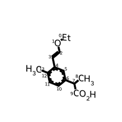 CCO/C=C/c1cc(C(C)C(=O)O)ccc1C